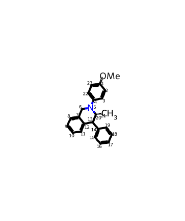 COc1ccc(N2Cc3ccccc3C(c3ccccc3)[C@@H]2C)cc1